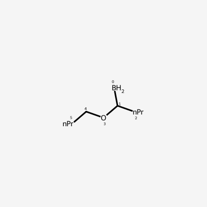 BC(CCC)OCCCC